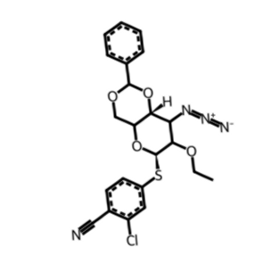 CCOC1C(N=[N+]=[N-])[C@H]2OC(c3ccccc3)OCC2O[C@@H]1Sc1ccc(C#N)c(Cl)c1